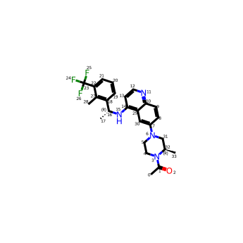 CC(=O)N1CCN(c2ccc3nccc(N[C@H](C)c4cccc(C(F)(F)F)c4C)c3c2)C[C@H]1C